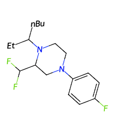 CCCCC(CC)N1CCN(c2ccc(F)cc2)CC1C(F)F